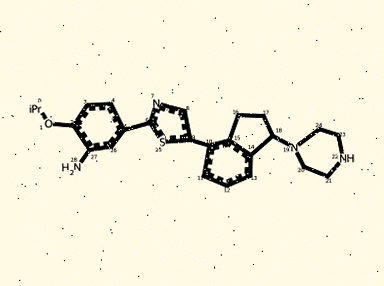 CC(C)Oc1ccc(-c2ncc(-c3cccc4c3CCC4N3CCNCC3)s2)cc1N